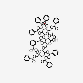 CC(=O)OC1C(O)OC(COC2OC(COC(=O)c3ccccc3)(COC(=O)c3ccccc3)CC(OC(=O)c3ccccc3)C2OC(=O)c2ccccc2)C(OC(C)=O)C1OC1OC(COC(=O)c2ccccc2)C(OC(=O)c2ccccc2)C(OC(=O)c2ccccc2)C1OC(=O)c1ccccc1